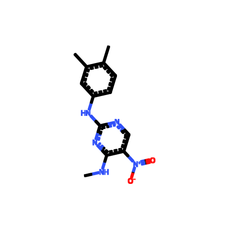 CNc1nc(Nc2ccc(C)c(C)c2)ncc1[N+](=O)[O-]